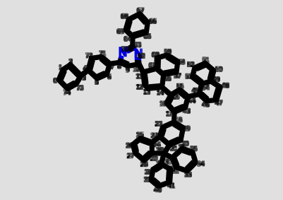 c1ccc(-c2ccc(-c3cc(-c4ccc(-c5cc(-c6ccc7c(c6)-c6ccccc6C7(c6ccccc6)c6ccccc6)cc(-c6cccc7ccccc67)c5)c5ccccc45)nc(-c4ccccc4)n3)cc2)cc1